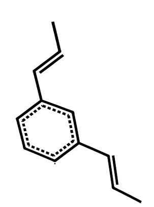 CC=Cc1[c]ccc(C=CC)c1